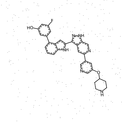 Oc1cc(F)cc(-c2cccc3[nH]c(-c4n[nH]c5cnc(-c6cncc(OC7CCNCC7)c6)cc45)cc23)c1